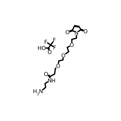 NCCNC(=O)CCOCCOCCOCCN1C(=O)C=CC1=O.O=C(O)C(F)(F)F